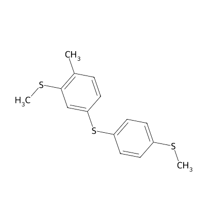 CSc1ccc(Sc2ccc(C)c(SC)c2)cc1